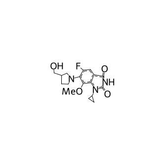 COc1c(N2CCC(CO)C2)c(F)cc2c(=O)[nH]c(=O)n(C3CC3)c12